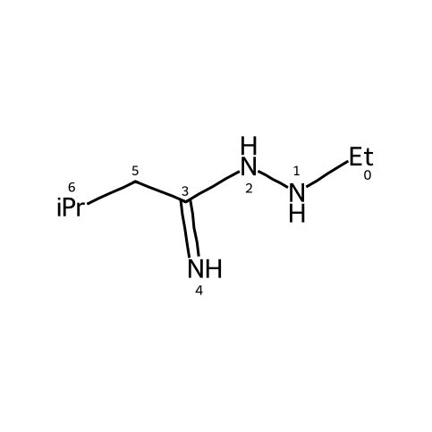 CCNNC(=N)CC(C)C